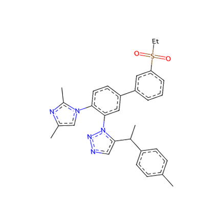 CCS(=O)(=O)c1cccc(-c2ccc(-n3cc(C)nc3C)c(-n3nncc3C(C)c3ccc(C)cc3)c2)c1